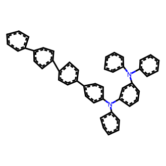 c1ccc(-c2ccc(-c3ccc(-c4ccc(N(c5ccccc5)c5cccc(N(c6ccccc6)c6ccccc6)c5)cc4)cc3)cc2)cc1